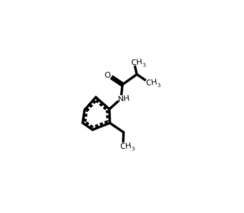 CCc1ccccc1NC(=O)C(C)C